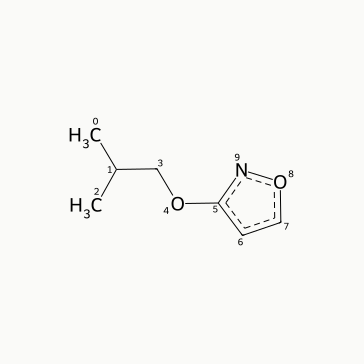 CC(C)COc1ccon1